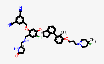 Cc1c(OCCCN2CCC(C)(F)CC2)cccc1-c1cccc2c1CC[C@@H]2Oc1cc(OCc2cc(C#N)cc(C#N)c2)c(CNC[C@H]2CCC(=O)N2)cc1Cl